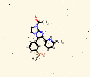 CC(=O)N1CCn2c1nc(-c1cccc(C)n1)c2-c1cccc([S+](C)[O-])c1